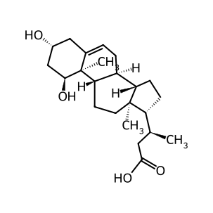 C[C@@H](CC(=O)O)[C@H]1CC[C@H]2[C@@H]3CC=C4C[C@@H](O)C[C@H](O)[C@]4(C)[C@H]3CC[C@]12C